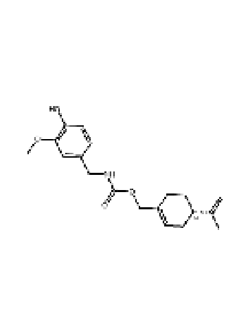 C=C(C)[C@@H]1CC=C(COC(=O)NCc2ccc(O)c(OC)c2)CC1